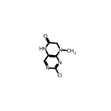 CN1CC(=O)Nc2cnc(Cl)nc21